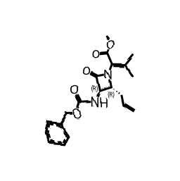 C=CC[C@@H]1[C@@H](NC(=O)OCc2ccccc2)C(=O)N1C(C(=O)OC)=C(C)C